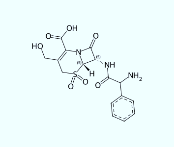 NC(C(=O)N[C@H]1C(=O)N2C(C(=O)O)=C(CO)CS(=O)(=O)[C@@H]12)c1ccccc1